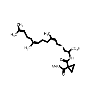 COC(=O)C1(C(=O)NC(CSCC=C(C)CCC=C(C)CCC=C(C)C)C(=O)O)CC1